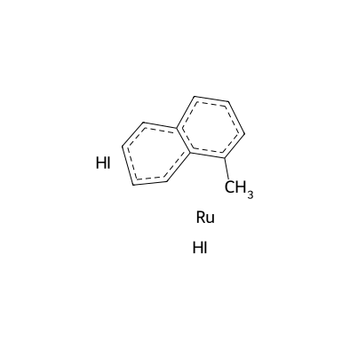 Cc1cccc2ccccc12.I.I.[Ru]